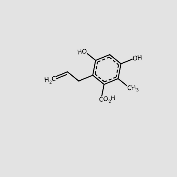 C=CCc1c(O)cc(O)c(C)c1C(=O)O